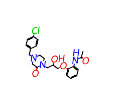 CC(=O)Nc1ccccc1OC[C@H](O)CN1CCN(Cc2ccc(Cl)cc2)CC1=O